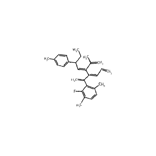 C=C/C=C(C(=C)c1c(C)ccc(C)c1F)\C(=C\C(CC)c1ccc(C)cc1)C(=C)C